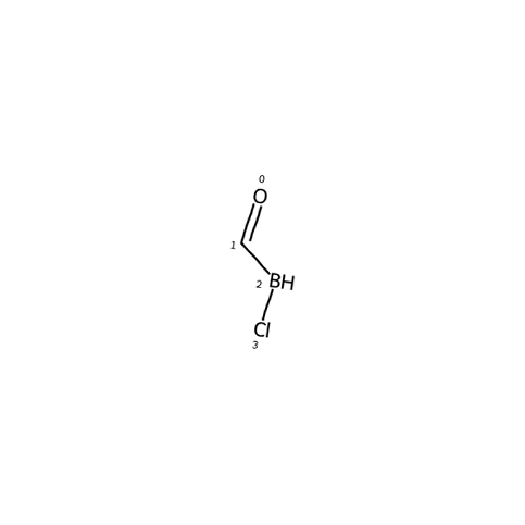 O=CBCl